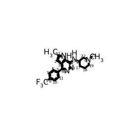 Cc1cc2c(-c3ccc(C(F)(F)F)cc3)nnc(N[C@@H]3CCCN(C)C3)c2[nH]1